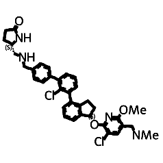 CNCc1cc(Cl)c(O[C@H]2CCc3c(-c4cccc(-c5ccc(CNC[C@@H]6CCC(=O)N6)cc5)c4Cl)cccc32)nc1OC